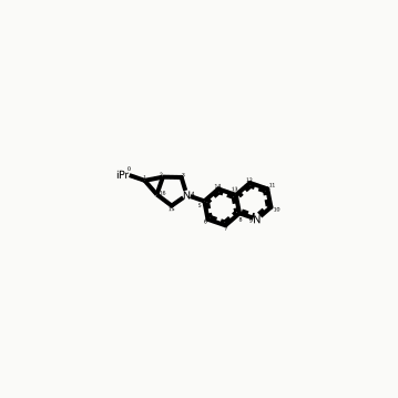 CC(C)C1C2CN(c3ccc4ncccc4c3)CC21